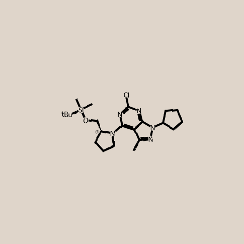 Cc1nn(C2CCCC2)c2nc(Cl)nc(N3CCC[C@H]3CO[Si](C)(C)C(C)(C)C)c12